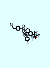 N#CCc1ccc(C(=O)N2CC[C@@]3(S(=O)(=O)c4ccc(F)cc4)c4ccc(C(F)(C(F)(F)F)C(F)(F)F)cc4CC[C@@H]23)cc1